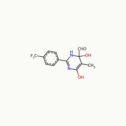 CC1=C(O)N=C(c2ccc(C(F)(F)F)cc2)NC1(O)C=O